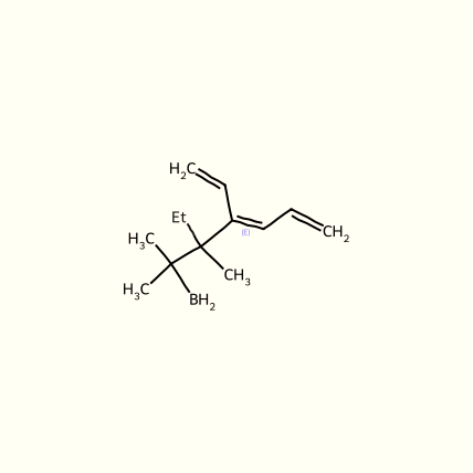 BC(C)(C)C(C)(CC)/C(C=C)=C/C=C